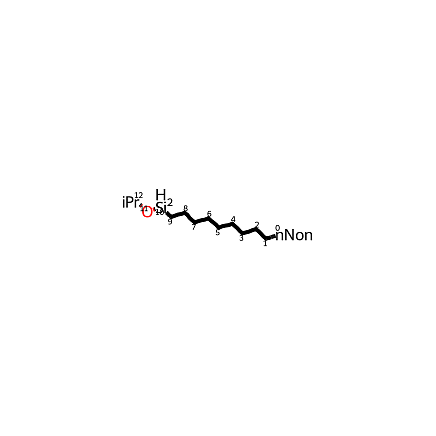 CCCCCCCCCCCCCCCCCC[SiH2]OC(C)C